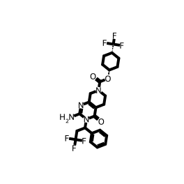 Nc1nc2c(c(=O)n1C(CC(F)(F)F)c1ccccc1)CCN(C(=O)O[C@H]1CC[C@@H](C(F)(F)F)CC1)C2